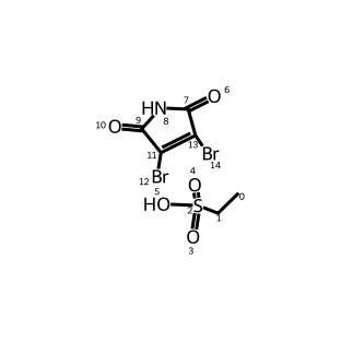 CCS(=O)(=O)O.O=C1NC(=O)C(Br)=C1Br